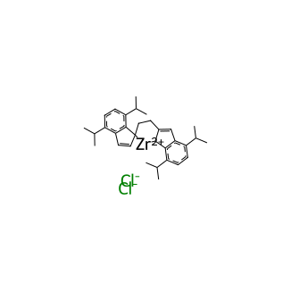 CC(C)c1ccc(C(C)C)c2c1C=C1CC[C]3(C=Cc4c(C(C)C)ccc(C(C)C)c43)[Zr+2][CH]12.[Cl-].[Cl-]